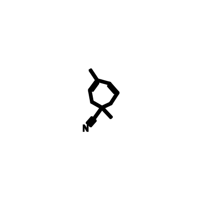 CC1=CCC(C)(C#N)CC=C1